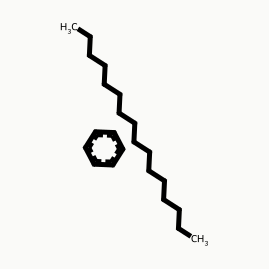 CCCCCCCCCCCCCCCC.c1ccccc1